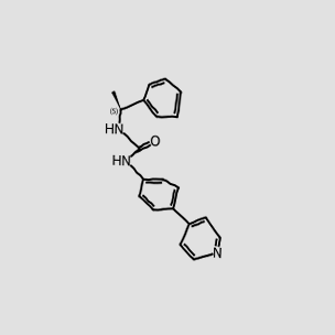 C[C@H](NC(=O)Nc1ccc(-c2ccncc2)cc1)c1ccccc1